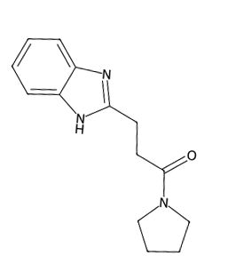 O=C(CCc1nc2ccccc2[nH]1)N1CCCC1